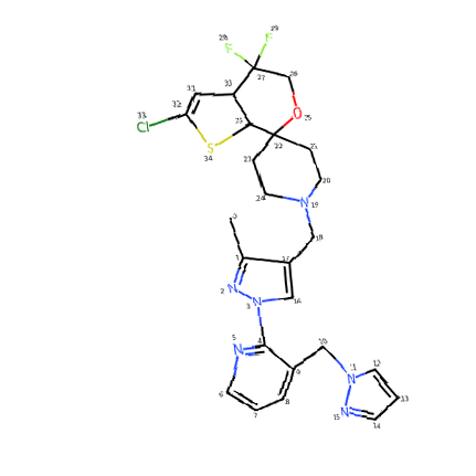 Cc1nn(-c2ncccc2Cn2cccn2)cc1CN1CCC2(CC1)OCC(F)(F)C1C=C(Cl)SC12